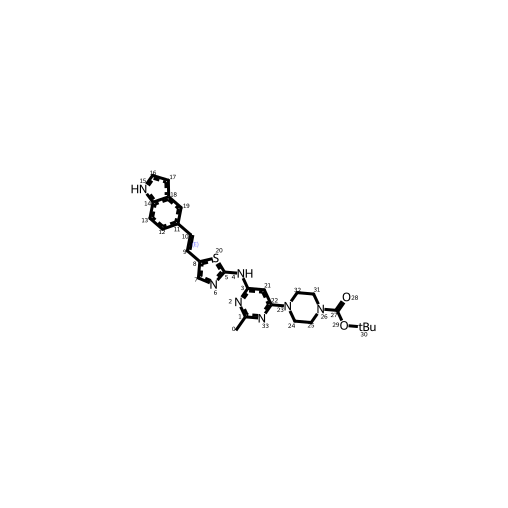 Cc1nc(Nc2ncc(/C=C/c3ccc4[nH]ccc4c3)s2)cc(N2CCN(C(=O)OC(C)(C)C)CC2)n1